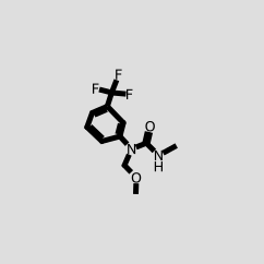 CNC(=O)N(COC)c1cccc(C(F)(F)F)c1